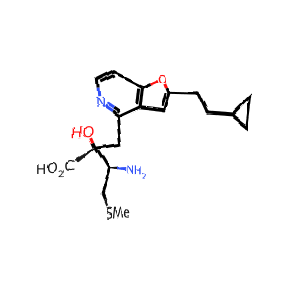 CSC[C@H](N)[C@](O)(Cc1nccc2oc(CCC3CC3)cc12)C(=O)O